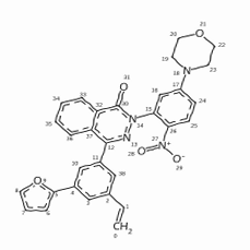 C=Cc1cc(-c2ccco2)cc(-c2nn(-c3cc(N4CCOCC4)ccc3[N+](=O)[O-])c(=O)c3ccccc23)c1